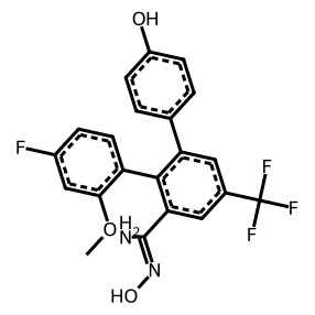 COc1cc(F)ccc1-c1c(/C(N)=N/O)cc(C(F)(F)F)cc1-c1ccc(O)cc1